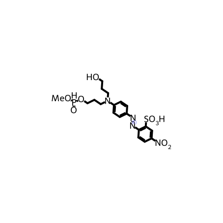 CO[PH](=O)OCCCN(CCCO)c1ccc(/N=N/c2ccc([N+](=O)[O-])cc2S(=O)(=O)O)cc1